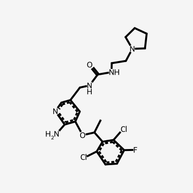 CC(Oc1cc(CNC(=O)NCCN2CCCC2)cnc1N)c1c(Cl)ccc(F)c1Cl